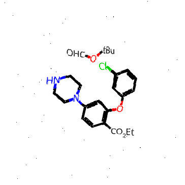 CC(C)(C)OC=O.CCOC(=O)c1ccc(N2CCNCC2)cc1Oc1cccc(Cl)c1